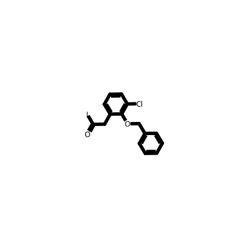 O=C(I)Cc1cccc(Cl)c1OCc1ccccc1